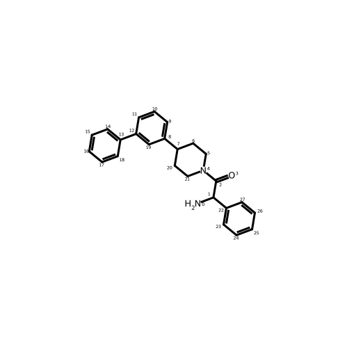 NC(C(=O)N1CCC(c2cccc(-c3ccccc3)c2)CC1)c1ccccc1